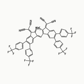 C=C1C(=C(C#N)C#N)c2cc(-c3ccc(C(F)(F)F)cc3)c(-c3ccc(C(F)(F)F)cc3)cc2/C1=C/C1=C(C)C(=C(C#N)C#N)c2cc(-c3ccc(C(F)(F)F)cc3)c(-c3ccc(C(F)(F)F)cc3)cc21